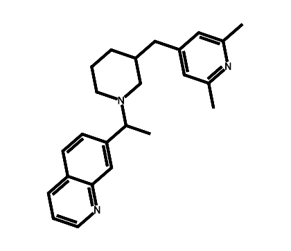 Cc1cc(CC2CCCN(C(C)c3ccc4cccnc4c3)C2)cc(C)n1